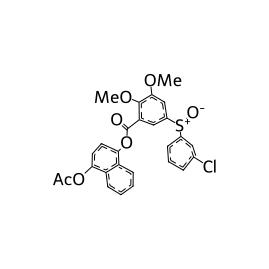 COc1cc([S+]([O-])c2cccc(Cl)c2)cc(C(=O)Oc2ccc(OC(C)=O)c3ccccc23)c1OC